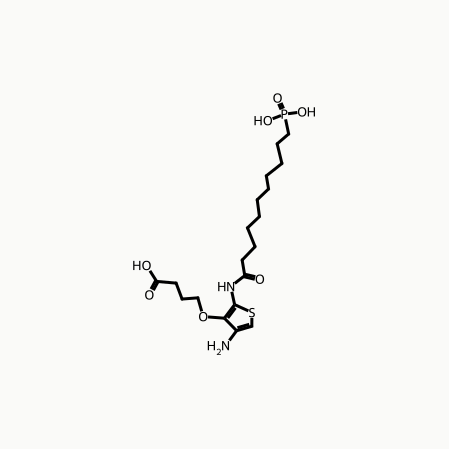 Nc1csc(NC(=O)CCCCCCCCCCP(=O)(O)O)c1OCCCC(=O)O